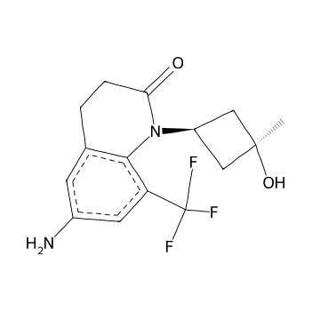 C[C@]1(O)C[C@@H](N2C(=O)CCc3cc(N)cc(C(F)(F)F)c32)C1